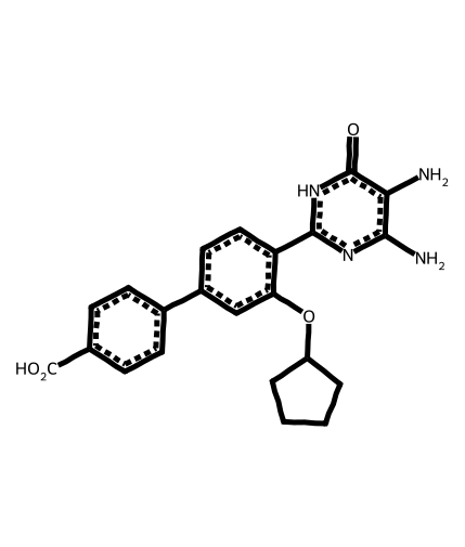 Nc1nc(-c2ccc(-c3ccc(C(=O)O)cc3)cc2OC2CCCC2)[nH]c(=O)c1N